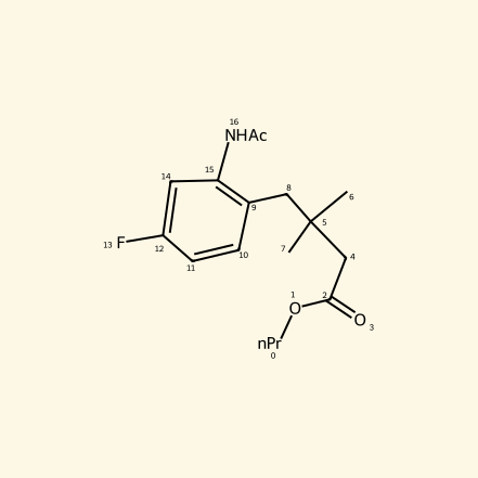 CCCOC(=O)CC(C)(C)Cc1ccc(F)cc1NC(C)=O